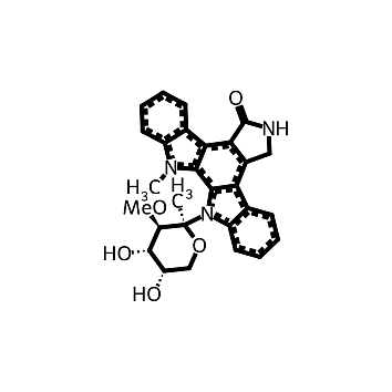 CO[C@@H]1[C@@H](O)[C@@H](O)CO[C@]1(C)n1c2ccccc2c2c3c(c4c5ccccc5n(C)c4c21)C(=O)NC3